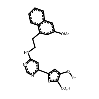 CCOc1cc(-c2cc(NCCc3cc(OC)cc4ccccc34)ncn2)sc1C(=O)O